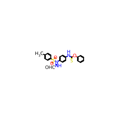 Cc1ccc(S(=O)(=O)N(NC=O)c2ccc(NC(=S)Oc3ccccc3)cc2)cc1